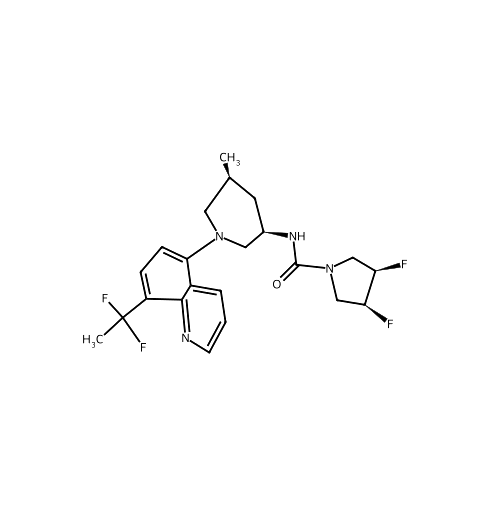 C[C@H]1C[C@@H](NC(=O)N2C[C@@H](F)[C@@H](F)C2)CN(c2ccc(C(C)(F)F)c3ncccc23)C1